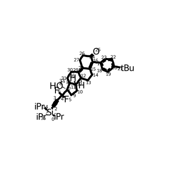 CC(C)[Si](C#CC(F)(F)[C@]1(O)CC[C@H]2[C@@H]3CCC4=C(c5ccc(C(C)(C)C)cc5)C(=O)CCC4=C3CC[C@@]21C)(C(C)C)C(C)C